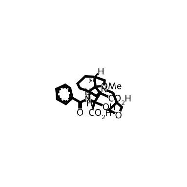 COC1(C(C(=O)O)C(O)(NC(=O)c2ccccc2)C(=O)O)[C@@H]2CCC[C@H]1CN(CC1COC1)C2